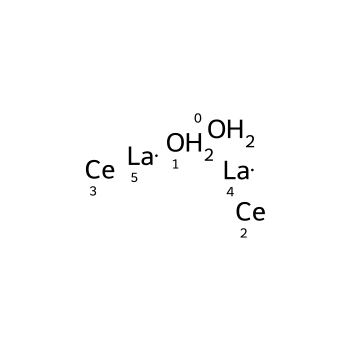 O.O.[Ce].[Ce].[La].[La]